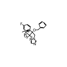 CCS(=O)(=O)C(F)(F)C(Cn1cncn1)(OCc1ccccc1)c1ccc(F)cc1F